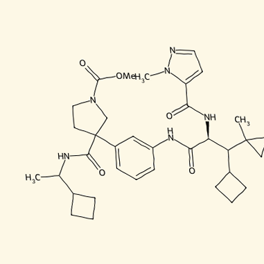 COC(=O)N1CCC(C(=O)NC(C)C2CCC2)(c2cccc(NC(=O)[C@@H](NC(=O)c3ccnn3C)C(C3CCC3)C3(C)CC3)c2)C1